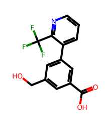 O=C(O)c1cc(CO)cc(-c2cccnc2C(F)(F)F)c1